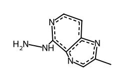 Cc1cnc2c(NN)nccc2n1